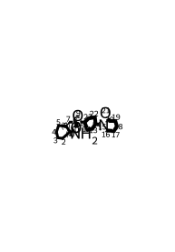 N[C@H]1CCCC[C@H]1CS(=O)(=O)c1ccc(-n2ccccc2=O)cc1